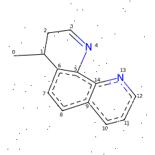 CC1CC=Nc2c1ccc1cccnc21